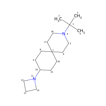 CC(C)(C)N1CCC2(CCC(N3CCC3)CC2)CC1